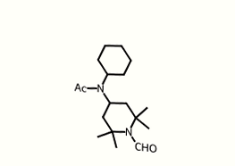 CC(=O)N(C1CCCCC1)C1CC(C)(C)N(C=O)C(C)(C)C1